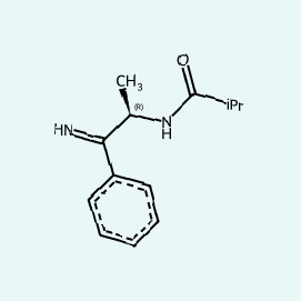 CC(C)C(=O)N[C@H](C)C(=N)c1ccccc1